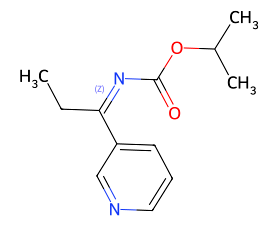 CC/C(=N/C(=O)OC(C)C)c1cccnc1